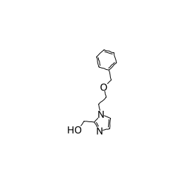 OCc1nccn1CCOCc1ccccc1